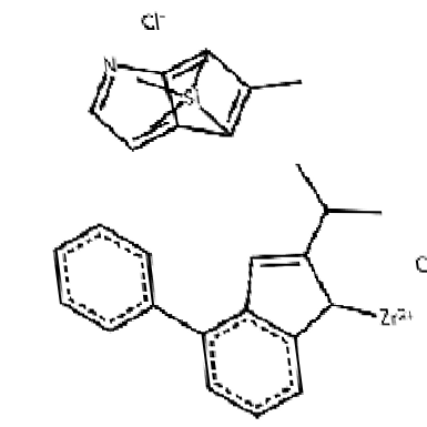 CC(C)C1=Cc2c(-c3ccccc3)cccc2[CH]1[Zr+2].CC1=C2C3=CC=NC3=C1[Si]2(C)C.[Cl-].[Cl-]